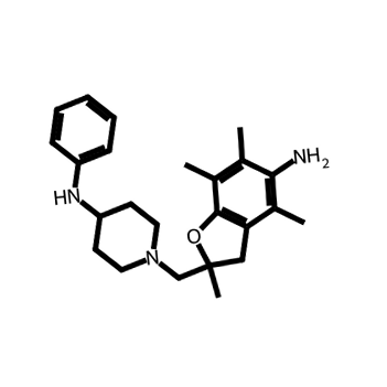 Cc1c(C)c2c(c(C)c1N)CC(C)(CN1CCC(Nc3ccccc3)CC1)O2